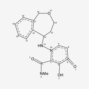 CNC(=O)c1c(O)c(=O)ccn1NC1CCOCc2ccccc21